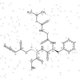 CN(C)CC(=O)NCC(=O)N[C@@H](Cc1ccccc1)C(=O)N[C@@H](CCC(=O)C=[N+]=[N-])C(=O)OC(C)(C)C